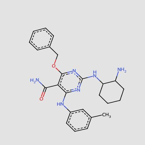 Cc1cccc(Nc2nc(NC3CCCCC3N)nc(OCc3ccccc3)c2C(N)=O)c1